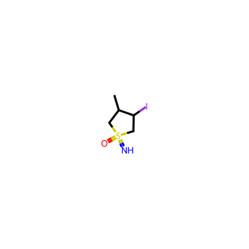 CC1CS(=N)(=O)CC1I